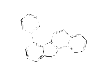 c1ccc(-c2cccc3oc4c5ccccc5ccc4c23)cc1